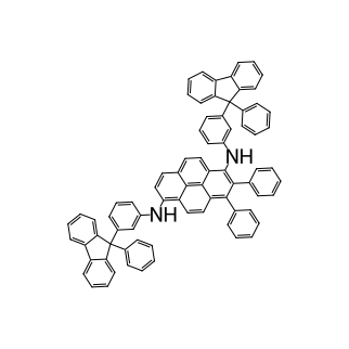 c1ccc(-c2c(Nc3cccc(C4(c5ccccc5)c5ccccc5-c5ccccc54)c3)c3ccc4ccc(Nc5cccc(C6(c7ccccc7)c7ccccc7-c7ccccc76)c5)c5ccc(c2-c2ccccc2)c3c45)cc1